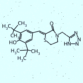 CC(C)(C)c1cc(C=C2SCCN(Cc3nnn[nH]3)C2=O)cc(C(C)(C)C)c1O